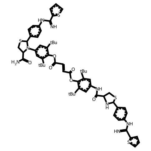 CC(C)(C)c1cc(NC(=O)C2CSC(c3ccc(NC(=N)c4cccs4)cc3)N2)cc(C(C)(C)C)c1OC(=O)/C=C/C(=O)Oc1c(C(C)(C)C)cc(N2C(C(N)=O)CSC2c2ccc(NC(=N)c3cccs3)cc2)cc1C(C)(C)C